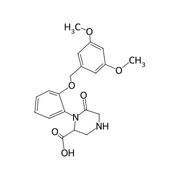 COc1cc(COc2ccccc2N2C(=O)CNCC2C(=O)O)cc(OC)c1